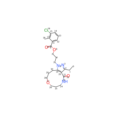 CCc1nn(CCCOC(=O)c2cccc(Cl)c2C)c2c1C(=O)NCCCOCCC2